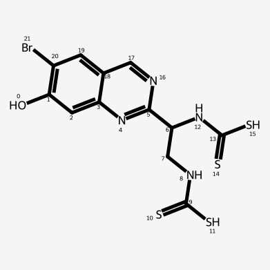 Oc1cc2nc(C(CNC(=S)S)NC(=S)S)ncc2cc1Br